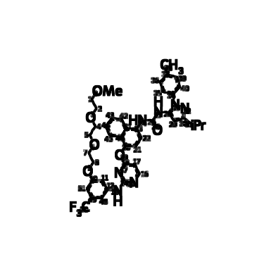 COCCOCCOCCOc1cc(Nc2nccc(Oc3ccc(NC(=O)Nc4cc(C(C)C)nn4-c4ccc(C)cc4)c4ccccc34)n2)cc(C(F)(F)F)c1